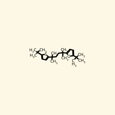 CC(C)(C)c1ccc(C(C)(C)CCC(C)(C)c2ccc(C(C)(C)C)s2)o1